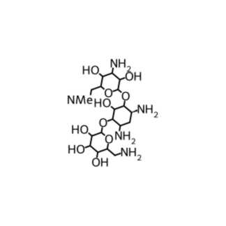 CNCC1OC(OC2C(O)C(OC3OC(CN)C(O)C(O)C3O)C(N)C[C@@H]2N)C(O)C(N)C1O